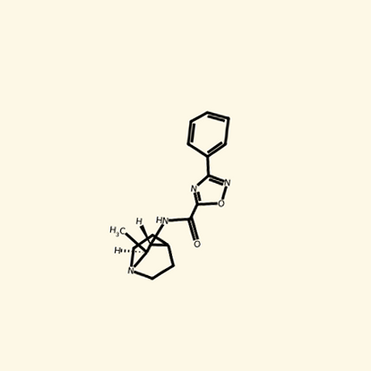 C[C@H]1[C@H](NC(=O)c2nc(-c3ccccc3)no2)C2CCN1CC2